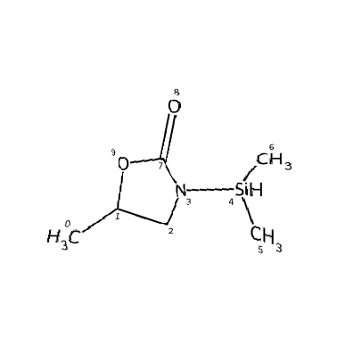 CC1CN([SiH](C)C)C(=O)O1